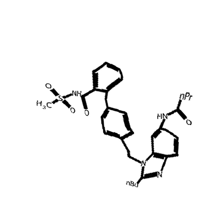 CCCCc1nc2ccc(NC(=O)CCC)cc2n1Cc1ccc(-c2ccccc2C(=O)NS(C)(=O)=O)cc1